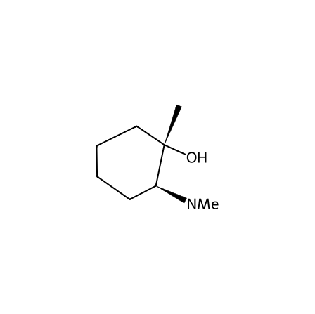 CN[C@H]1CCCC[C@]1(C)O